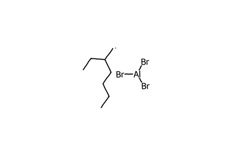 [Br][Al]([Br])[Br].[CH2]C(CC)CCCC